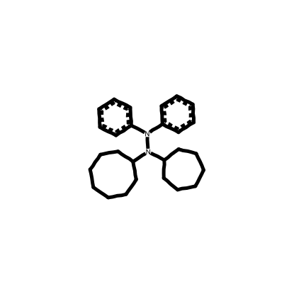 c1ccc(N(c2ccccc2)N(C2CCCCCCC2)C2CCCCCC2)cc1